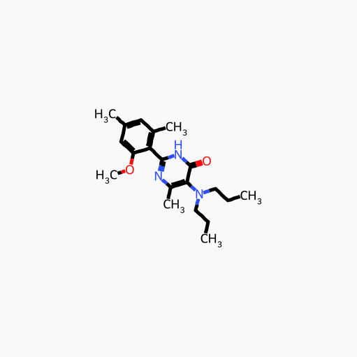 CCCN(CCC)c1c(C)nc(-c2c(C)cc(C)cc2OC)[nH]c1=O